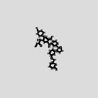 C=CC(=O)Nc1cc(Nc2cc(N3OCC[C@@H]3c3cccc(OCc4cccc(C)n4)c3)ncn2)c(OC)cc1N1CCN(C)CC1